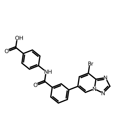 O=C(O)c1ccc(NC(=O)c2cccc(-c3cc(Br)c4ncnn4c3)c2)cc1